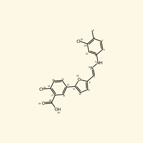 Cc1ccc(N/N=C/c2ccc(-c3ccc(Cl)c(C(=O)O)c3)o2)cc1Cl